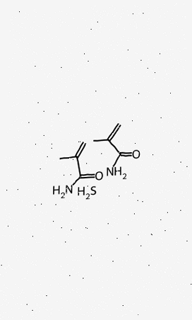 C=C(C)C(N)=O.C=C(C)C(N)=O.S